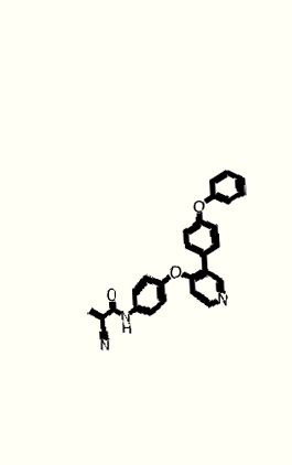 C=C(C#N)C(=O)Nc1ccc(Oc2ccncc2-c2ccc(Oc3ccccc3)cc2)cc1